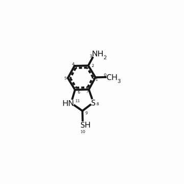 Cc1c(N)ccc2c1SC(S)N2